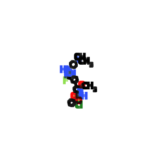 COc1nc(NS(=O)(=O)c2ccccc2Cl)ccc1-c1ccc2nc(NC3CCC(N(C)C)CC3)nc(F)c2c1